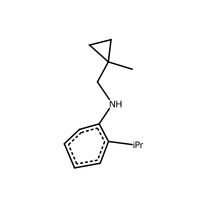 CC(C)c1ccccc1NCC1(C)CC1